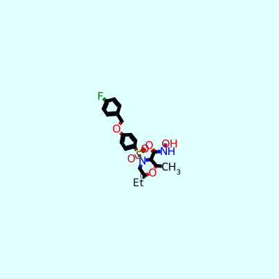 CC[C@H]1CN(S(=O)(=O)c2ccc(OCc3ccc(F)cc3)cc2)C(C(=O)NO)C(C)O1